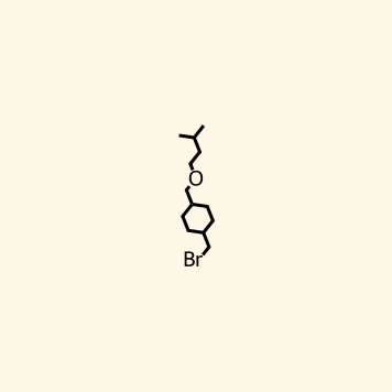 CC(C)CCOCC1CCC(CBr)CC1